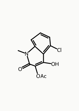 CC(=O)Oc1c(O)c2c(Cl)cccc2n(C)c1=O